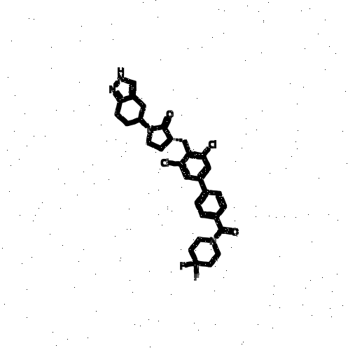 O=C(c1ccc(-c2cc(Cl)c(C[C@@H]3CCN(C4CCc5n[nH]cc5C4)C3=O)c(Cl)c2)cc1)N1CCC(F)(F)CC1